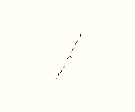 CC(=O)COCCOCCNC(=O)COCCOCCNC(C)(C)C